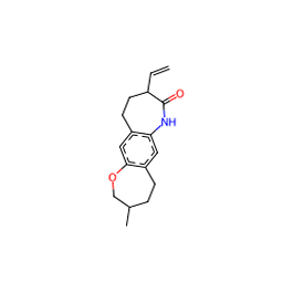 C=CC1CCc2cc3c(cc2NC1=O)CCC(C)CO3